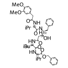 CC[C@H](C)[C@H](NC(=O)C[C@H](O)[C@H](Cc1ccccc1)NC(=O)[C@@H](NC(=O)Cc1ccc(OC)c(OC)c1)C(C)C)C(=O)N[C@H](C(=O)OCc1ccccc1)C(C)C